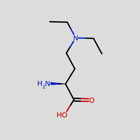 CCN(CC)CC[C@H](N)C(=O)O